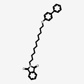 O=C1c2ccccc2C(=O)N1CCCCCCCCCCCCOc1ccc(-c2ccccc2)cc1